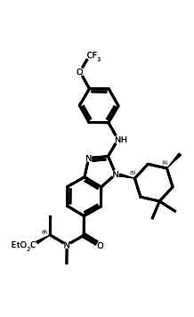 CCOC(=O)[C@@H](C)N(C)C(=O)c1ccc2nc(Nc3ccc(OC(F)(F)F)cc3)n([C@H]3C[C@@H](C)CC(C)(C)C3)c2c1